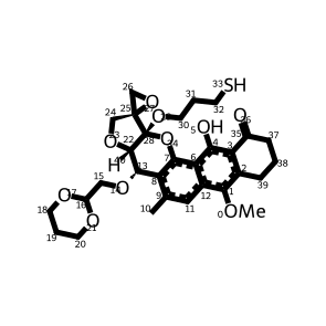 COc1c2c(c(O)c3c4c(c(C)cc13)[C@H](OCC1OCCCO1)[C@@H]1OC[C@]3(CO3)[C@]1(OCCCS)O4)C(=O)CCC2